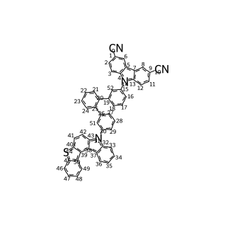 N#Cc1ccc2c(c1)c1cc(C#N)ccc1n2-c1cccc(-c2ccccc2-c2cccc(-n3c4ccccc4c4c5c(ccc43)sc3ccccc35)c2)c1